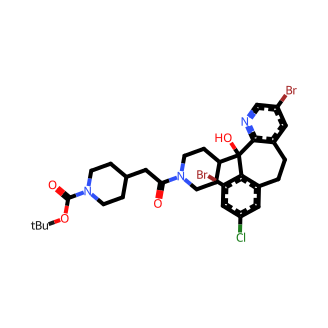 CC(C)(C)OC(=O)N1CCC(CC(=O)N2CCC(C3(O)c4ncc(Br)cc4CCc4cc(Cl)cc(Br)c43)CC2)CC1